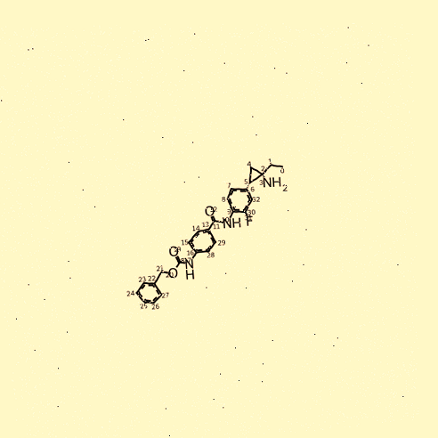 CC[C@]1(N)C[C@H]1c1ccc(NC(=O)c2ccc(NC(=O)OCc3ccccc3)cc2)c(F)c1